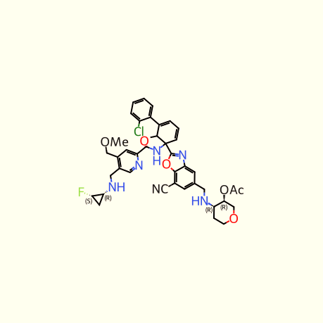 COCc1cc(C(=O)NC2(c3nc4cc(CN[C@@H]5CCOC[C@@H]5OC(C)=O)cc(C#N)c4o3)C=CC=C(c3ccccc3Cl)C2C)ncc1CN[C@@H]1C[C@@H]1F